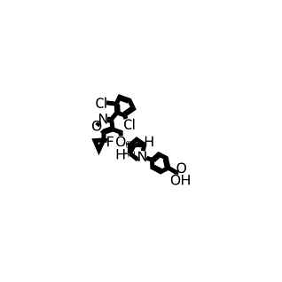 O=C(O)c1ccc(N2C[C@@H]3C[C@H]2C[C@H]3OCc2c(-c3c(Cl)cccc3Cl)noc2C2(F)CC2)cc1